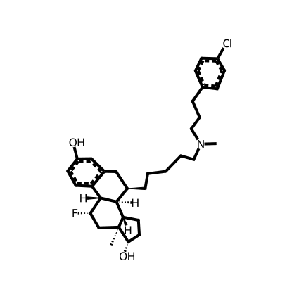 CN(CCCCC[C@@H]1Cc2cc(O)ccc2[C@@H]2[C@@H]1[C@@H]1CC[C@H](O)[C@@]1(C)C[C@@H]2F)CCCc1ccc(Cl)cc1